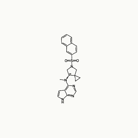 CN(c1ncnc2[nH]ccc12)[C@H]1CN(S(=O)(=O)c2ccc3ccccc3c2)CC12CC2